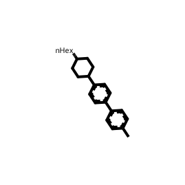 CCCCCCC1CCC(c2ccc(-c3ccc(C)cc3)cc2)CC1